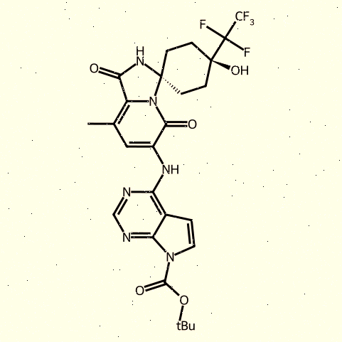 Cc1cc(Nc2ncnc3c2ccn3C(=O)OC(C)(C)C)c(=O)n2c1C(=O)N[C@]21CC[C@@](O)(C(F)(F)C(F)(F)F)CC1